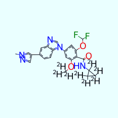 [2H]C([2H])([2H])Oc1cc(-n2cnc3cc(-c4cnn(C)c4)ccc32)cc(OC(F)F)c1C(=O)NC1([2H])C([2H])([2H])C1([2H])[2H]